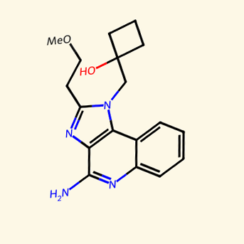 COCCc1nc2c(N)nc3ccccc3c2n1CC1(O)CCC1